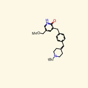 COCc1c[nH]c(=O)c(Cc2ccc(C=C3CCN(C(C)(C)C)CC3)cc2)c1